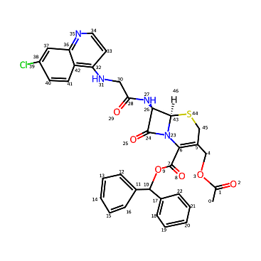 CC(=O)OCC1=C(C(=O)OC(c2ccccc2)c2ccccc2)N2C(=O)[C@@H](NC(=O)CNc3ccnc4cc(Cl)ccc34)[C@H]2SC1